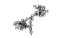 C#CCOCCOCCOCCOCCC(=O)N(CCOCCNC(=O)CO[C@@H]([C@@H]1OC(C(=O)O)=C[C@H](NC(=N)N)[C@H]1C)[C@H](O)CO)CCOCCNC(=O)CO[C@@H]([C@@H]1OC(C(=O)O)=C[C@H](NC(=N)N)[C@H]1NC(C)=O)[C@H](O)CO